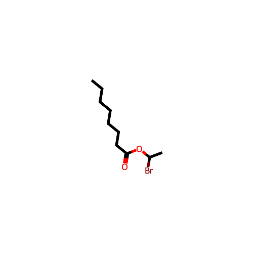 CCCCCCCC(=O)OC(C)Br